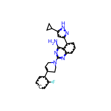 Nc1nc(N2CC=C(c3ccccc3F)CC2)nc2cccc(-c3cc(C4CC4)[nH]n3)c12